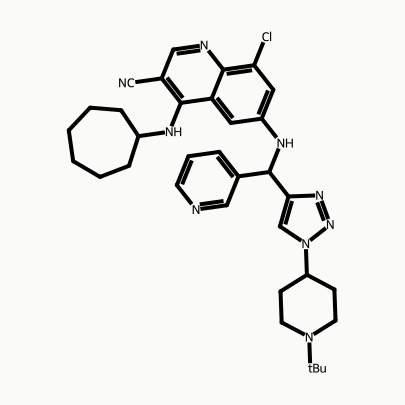 CC(C)(C)N1CCC(n2cc(C(Nc3cc(Cl)c4ncc(C#N)c(NC5CCCCCC5)c4c3)c3cccnc3)nn2)CC1